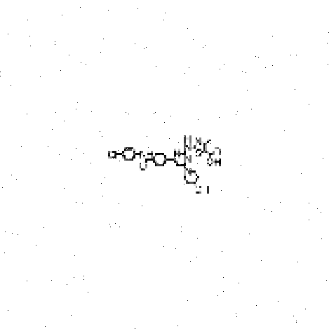 Cc1nc(Nc2nc(-c3ccc(C(=O)Nc4ccc(Cl)cc4)cc3)cc(N3CCC(O)CC3)n2)sc1C(=O)O